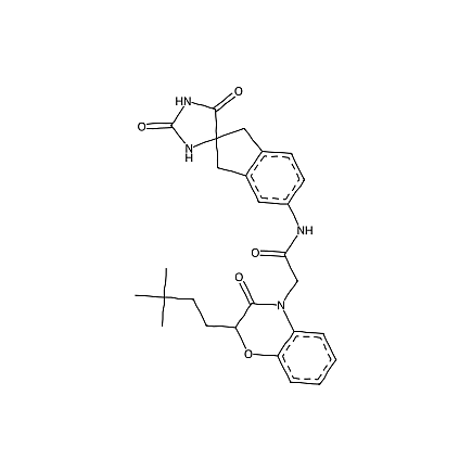 CC(C)(C)CCC1Oc2ccccc2N(CC(=O)Nc2ccc3c(c2)CC2(C3)NC(=O)NC2=O)C1=O